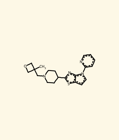 CC1(CN2CCC(c3nc4c(ccn4-c4ccccn4)s3)CC2)COC1